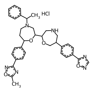 Cc1nc(-c2ccc(C3CCN(C(C)c4ccccc4)CC(C4CNCC(c5ccc(-c6ncno6)cc5)CO4)O3)cc2)no1.Cl